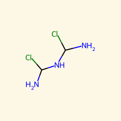 NC(Cl)NC(N)Cl